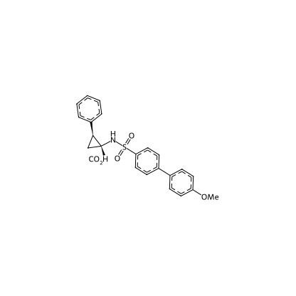 COc1ccc(-c2ccc(S(=O)(=O)N[C@]3(C(=O)O)C[C@H]3c3ccccc3)cc2)cc1